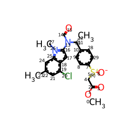 COC(=O)C[S@+]([O-])c1ccc([C@@H](C)N(C=O)c2cc3c(Cl)cc(C)cc3n2C)cc1